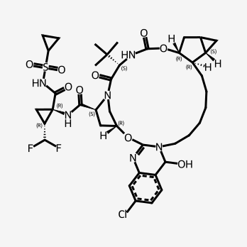 CC(C)(C)[C@@H]1NC(=O)O[C@@H]2CC3C[C@@H]3[C@H]2CCCCCCN2C(=Nc3cc(Cl)ccc3C2O)O[C@@H]2C[C@@H](C(=O)N[C@]3(C(=O)NS(=O)(=O)C4CC4)C[C@H]3C(F)F)N(C2)C1=O